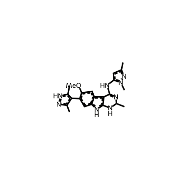 COc1cc2c3c([nH]c2cc1-c1c(C)n[nH]c1C)NC(C)N=C3Nc1cc(C)nn1C